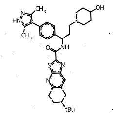 Cc1n[nH]c(C)c1-c1ccc([C@@H](CCN2CCC(O)CC2)NC(=O)c2nc3cc4c(nc3s2)CC[C@H](C(C)(C)C)C4)cc1